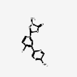 Cn1nc(-c2ccc(F)c(-c3cnc(N)cn3)c2)oc1=O